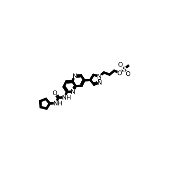 CS(=O)(=O)OCCCN1CC(c2cnc3ccc(NC(=O)NC4CCCC4)nc3c2)C=N1